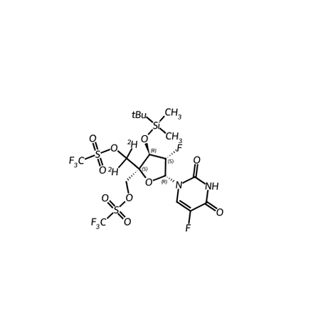 [2H]C([2H])(OS(=O)(=O)C(F)(F)F)[C@]1(COS(=O)(=O)C(F)(F)F)O[C@@H](n2cc(F)c(=O)[nH]c2=O)[C@@H](F)[C@@H]1O[Si](C)(C)C(C)(C)C